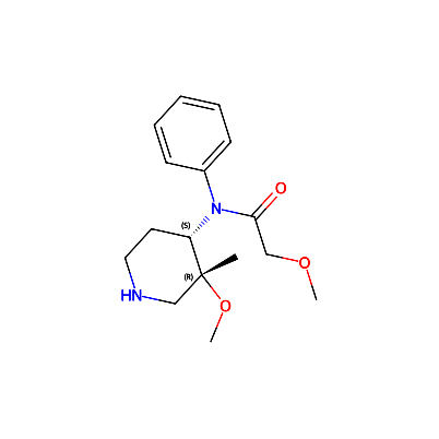 COCC(=O)N(c1ccccc1)[C@H]1CCNC[C@@]1(C)OC